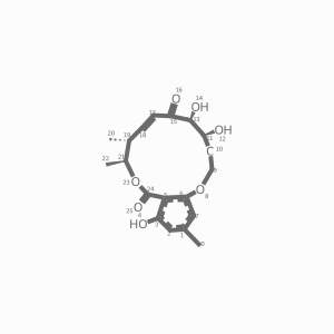 Cc1cc(O)c2c(c1)OCC[C@H](O)[C@H](O)C(=O)/C=C\[C@@H](C)[C@H](C)OC2=O